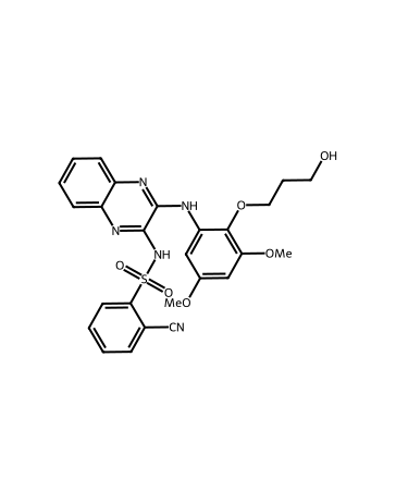 COc1cc(Nc2nc3ccccc3nc2NS(=O)(=O)c2ccccc2C#N)c(OCCCO)c(OC)c1